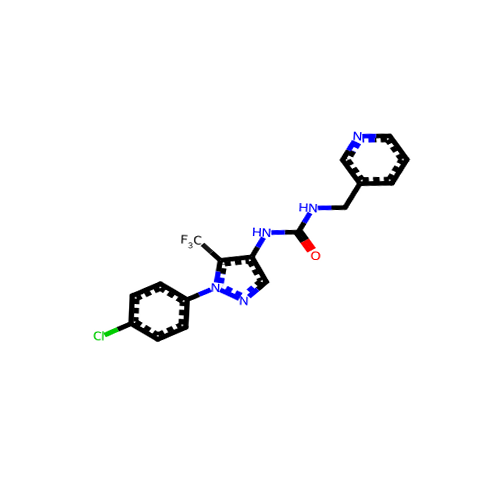 O=C(NCc1cccnc1)Nc1cnn(-c2ccc(Cl)cc2)c1C(F)(F)F